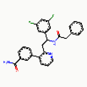 NC(=O)c1cccc(-c2cccnc2CC(NC(=O)Cc2ccccc2)c2cc(F)cc(F)c2)c1